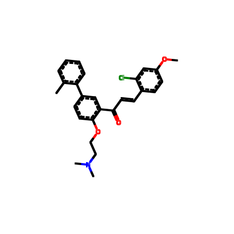 COc1ccc(C=CC(=O)c2cc(-c3ccccc3C)ccc2OCCN(C)C)c(Cl)c1